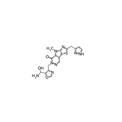 Cn1c2nc(Cc3cc[nH]n3)sc2c2cnn(Cc3ncoc3C(N)O)c(=O)c21